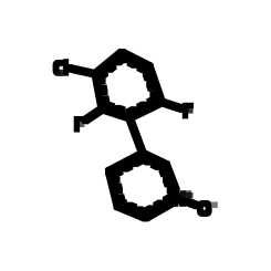 [O-][n+]1cccc(-c2c(F)ccc(Cl)c2F)c1